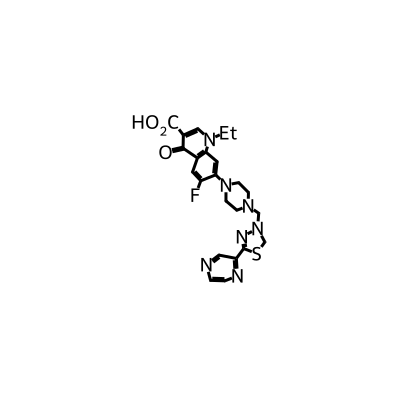 CCn1cc(C(=O)O)c(=O)c2cc(F)c(N3CCN(CN4CSC(c5cnccn5)=N4)CC3)cc21